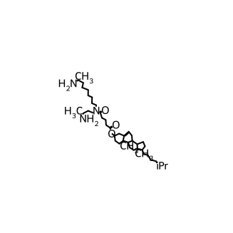 CC(C)CCCCC1CCC2C3CC=C4CC(OC(=O)CCCC(=O)N(CCCCCCCC(C)N)CCC(C)N)CCC4(C)C3CCC12C